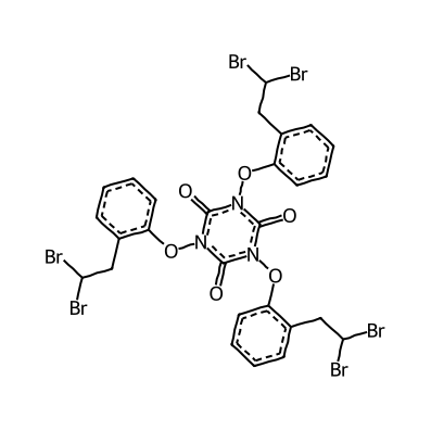 O=c1n(Oc2ccccc2CC(Br)Br)c(=O)n(Oc2ccccc2CC(Br)Br)c(=O)n1Oc1ccccc1CC(Br)Br